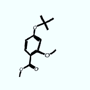 COC(=O)c1ccc(OC(C)(C)C)cc1OC